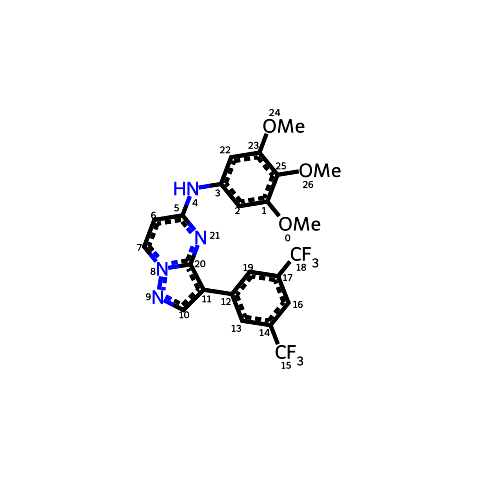 COc1cc(Nc2ccn3ncc(-c4cc(C(F)(F)F)cc(C(F)(F)F)c4)c3n2)cc(OC)c1OC